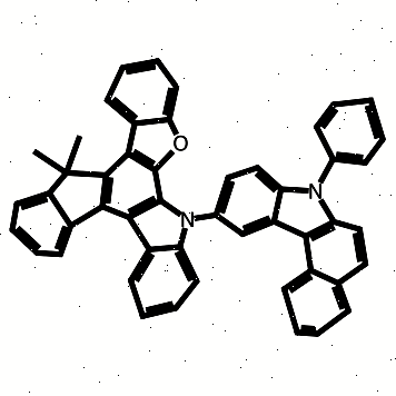 CC1(C)c2ccccc2-c2c1c1c3ccccc3oc1c1c2c2ccccc2n1-c1ccc2c(c1)c1c3ccccc3ccc1n2-c1ccccc1